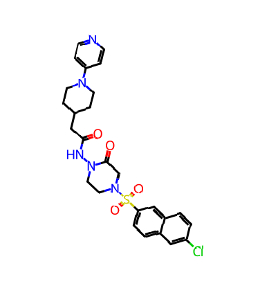 O=C(CC1CCN(c2ccncc2)CC1)NN1CCN(S(=O)(=O)c2ccc3cc(Cl)ccc3c2)CC1=O